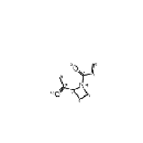 C=CC(=O)N1CCC1C(C)=O